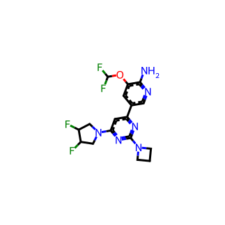 Nc1ncc(-c2cc(N3CC(F)C(F)C3)nc(N3CCC3)n2)cc1OC(F)F